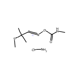 CNC(=O)O/N=C/C(C)(C)SC.NCl